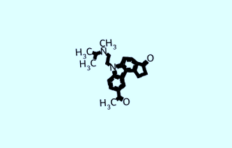 CC(=O)c1ccc2c(c1)c1c3c(ccc1n2CCN(C)C(C)C)C(=O)CC3